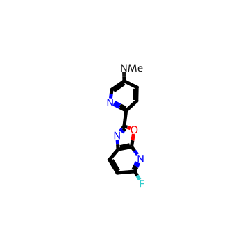 CNc1ccc(-c2nc3ccc(F)nc3o2)nc1